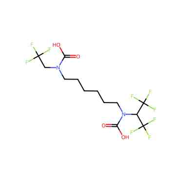 O=C(O)N(CCCCCCN(C(=O)O)C(C(F)(F)F)C(F)(F)F)CC(F)(F)F